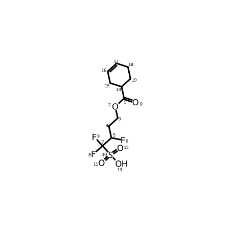 O=C(OCCC(F)C(F)(F)S(=O)(=O)O)C1CC=CCC1